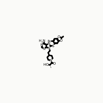 CC1Oc2cc(Br)c(Sc3nc4c(N)ncnc4n3CCC3CCN(C(=O)[C@H](C)O)CC3)cc2O1